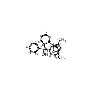 CC1=CC(C)=C(c2ccccc2C(O)(c2ccccc2)c2ccccc2)C1